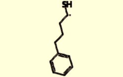 S[CH]CCCc1ccccc1